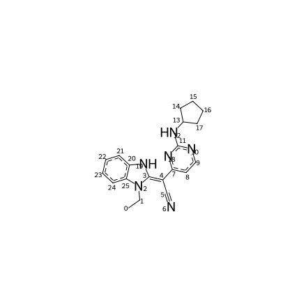 CCN1/C(=C(\C#N)c2ccnc(NC3CCCC3)n2)Nc2ccccc21